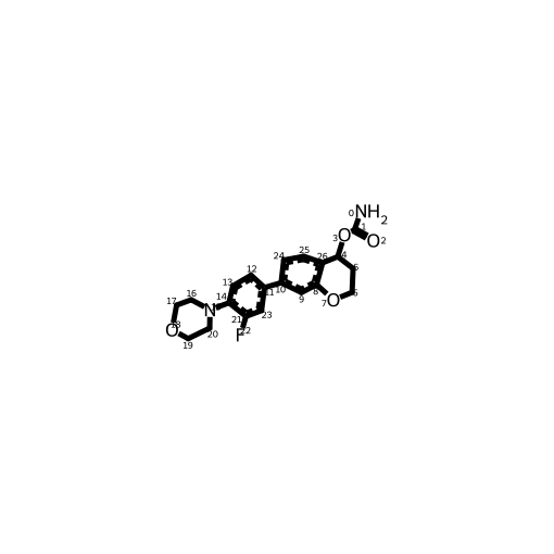 NC(=O)OC1CCOc2cc(-c3ccc(N4CCOCC4)c(F)c3)ccc21